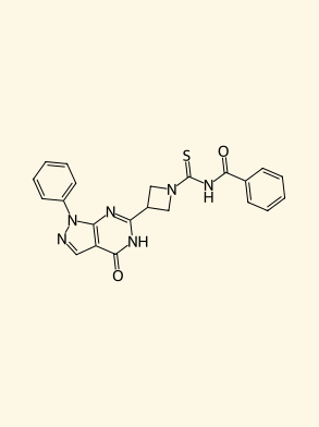 O=C(NC(=S)N1CC(c2nc3c(cnn3-c3ccccc3)c(=O)[nH]2)C1)c1ccccc1